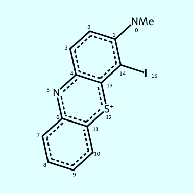 CNc1ccc2nc3ccccc3[s+]c2c1I